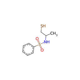 CC(CS)NS(=O)(=O)c1ccccc1